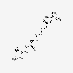 CC(C)(C)OC(=O)CCCCCNC(=O)CCC(N)CN